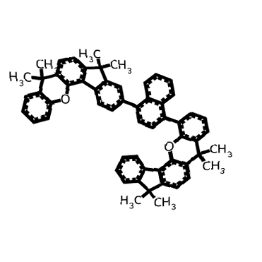 CC1(C)c2ccccc2Oc2c1ccc1c2-c2ccc(-c3ccc(-c4cccc5c4Oc4c(ccc6c4-c4ccccc4C6(C)C)C5(C)C)c4ccccc34)cc2C1(C)C